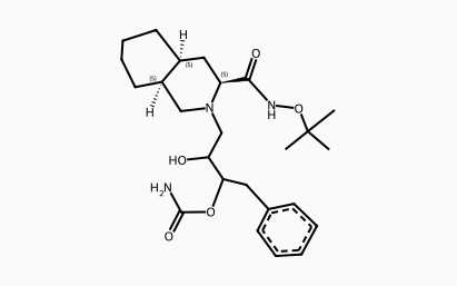 CC(C)(C)ONC(=O)[C@@H]1C[C@@H]2CCCC[C@@H]2CN1CC(O)C(Cc1ccccc1)OC(N)=O